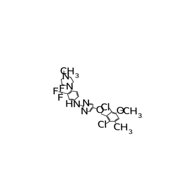 COc1cc(C)c(Cl)c(COc2cnc(Nc3ccc(N4CCN(C)CC4)c(C(F)(F)F)c3)nc2)c1Cl